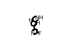 Fc1cncc(C2=C[C@H]3CNCC[C@H]3CC2)c1